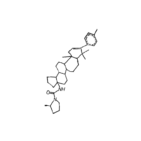 Cc1ccc(C2=CCC3(C)C4CCC5C(CCC6(NC(=O)N7CCC[C@H]7C)CCCC56)C4CCC3C2(C)C)cc1